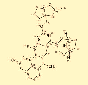 CCc1cccc2cc(O)cc(-c3ccc4c(N5CC[C@H]6CC[C@@H](C5)N6)nc(OCC56CCCN5C[C@H](F)C6)nc4c3F)c12